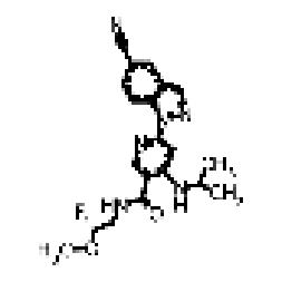 CO[C@H](F)CNC(=O)c1cnc(-n2ncc3cc(C#N)ccc32)cc1NC(C)C